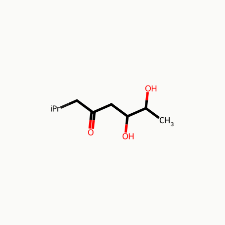 CC(C)CC(=O)CC(O)C(C)O